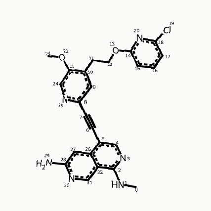 CNc1ncc(C#Cc2cc(CCOc3cccc(Cl)n3)c(OC)cn2)c2cc(N)ncc12